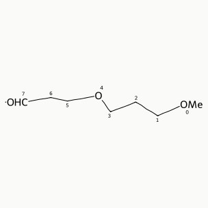 COCCCOCC[C]=O